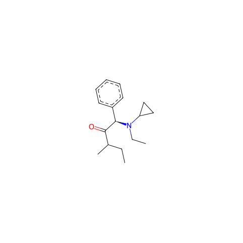 CCC(C)C(=O)[C@@H](c1ccccc1)N(CC)C1CC1